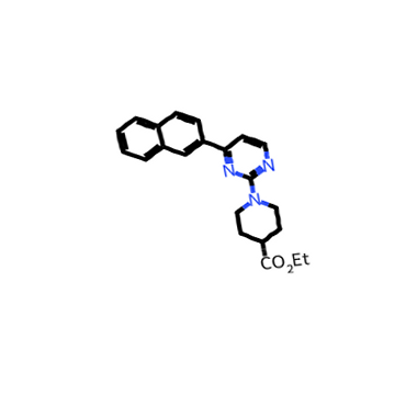 CCOC(=O)C1CCN(c2nccc(-c3ccc4ccccc4c3)n2)CC1